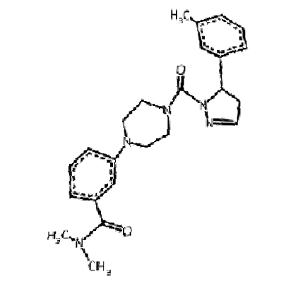 Cc1cccc(C2CC=NN2C(=O)N2CCN(c3cccc(C(=O)N(C)C)c3)CC2)c1